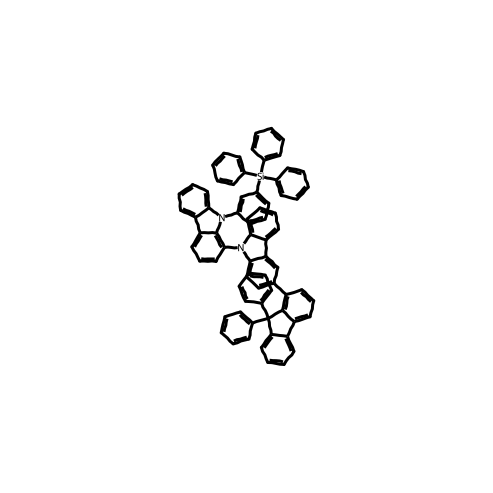 c1ccc(C2(c3ccccc3)c3ccccc3-c3cccc(-c4ccc5c(c4)c4ccccc4n5-c4cccc5c6ccccc6n(-c6cccc([Si](c7ccccc7)(c7ccccc7)c7ccccc7)c6)c45)c32)cc1